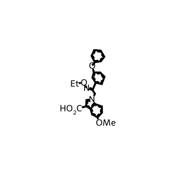 CCON=C(Cn1cc(C(=O)O)c2cc(OC)ccc21)c1cccc(Oc2ccccc2)c1